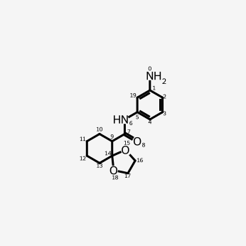 Nc1cccc(NC(=O)C2CCCCC23OCCO3)c1